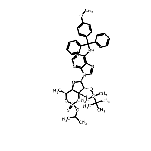 COc1ccc(C(Nc2ncnc3c2ncn3[C@@H]2OC3[C@H](C)OP(=S)(OC(C)C)O[C@H]3[C@H]2O[Si](C)(C)C(C)(C)C)(c2ccccc2)c2ccccc2)cc1